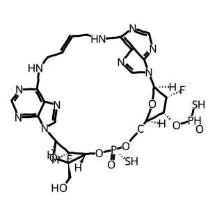 O=[PH](S)O[C@H]1[C@@H](F)[C@H]2O[C@@H]1CO[P@](=O)(S)O[C@H]1[C@@H](F)[C@@H](O[C@@H]1CO)n1cnc3c(ncnc31)NC/C=C/CNc1ncnc3c1ncn32